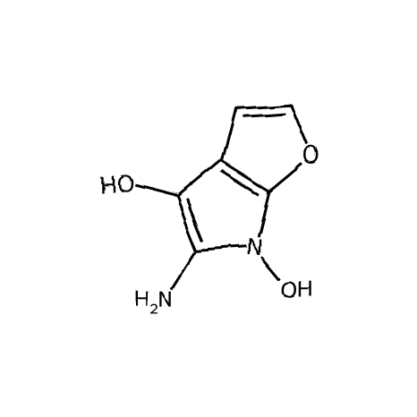 Nc1c(O)c2ccoc2n1O